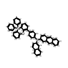 c1ccc([Si]2(c3ccccc3)c3ccccc3Oc3c(-c4ccc(N(c5ccc6ccccc6c5)c5ccc6cc7ccccc7cc6c5)cc4)cccc32)cc1